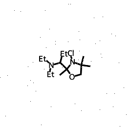 CCC(N(CC)CC)C1(C)OCC(C)(C)N1Cl